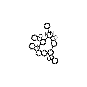 c1ccc(-c2nc(-c3ccc(-n4c5ccccc5c5ccc6ccccc6c54)c4c3oc3ccccc34)c3c(n2)oc2ccc(-c4ccc5oc6ccccc6c5c4)cc23)cc1